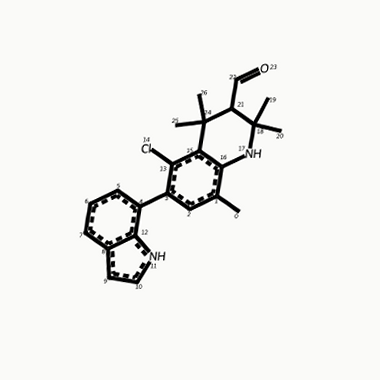 Cc1cc(-c2cccc3cc[nH]c23)c(Cl)c2c1NC(C)(C)C(C=O)C2(C)C